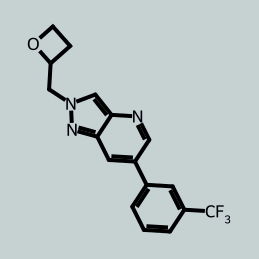 FC(F)(F)c1cccc(-c2cnc3cn(CC4CCO4)nc3c2)c1